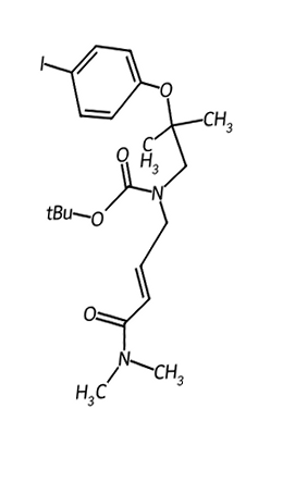 CN(C)C(=O)/C=C/CN(CC(C)(C)Oc1ccc(I)cc1)C(=O)OC(C)(C)C